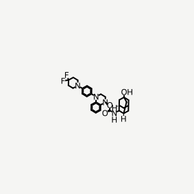 O=C(NC1[C@@H]2CC3C[C@H]1CC(O)(C3)C2)ON1CCN(c2ccc(N3CCC(F)(F)CC3)cc2)c2ccccc21